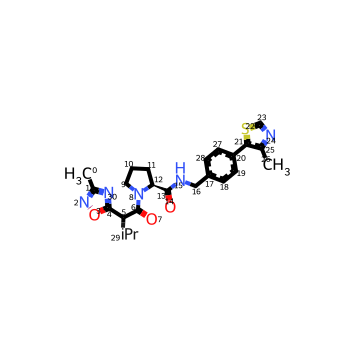 Cc1noc(C(C(=O)N2CCC[C@H]2C(=O)NCc2ccc(-c3scnc3C)cc2)C(C)C)n1